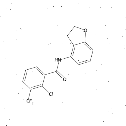 O=C(Nc1cccc2c1CCO2)c1cccc(C(F)(F)F)c1Cl